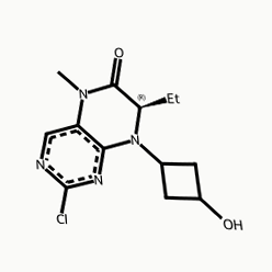 CC[C@@H]1C(=O)N(C)c2cnc(Cl)nc2N1C1CC(O)C1